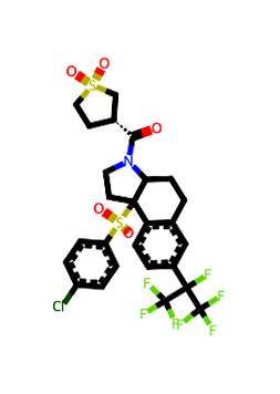 O=C([C@@H]1CCS(=O)(=O)C1)N1CCC2(S(=O)(=O)c3ccc(Cl)cc3)c3ccc(C(F)(C(F)(F)F)C(F)(F)F)cc3CCC12